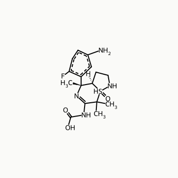 CC1(C)C(NC(=O)O)=N[C@](C)(c2cc(N)ccc2F)[C@H]2CCN[SH]21=O